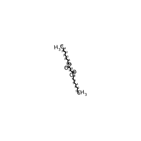 CCCCCCCCCOC(=O)CCC(=O)OCCCCCCCCC